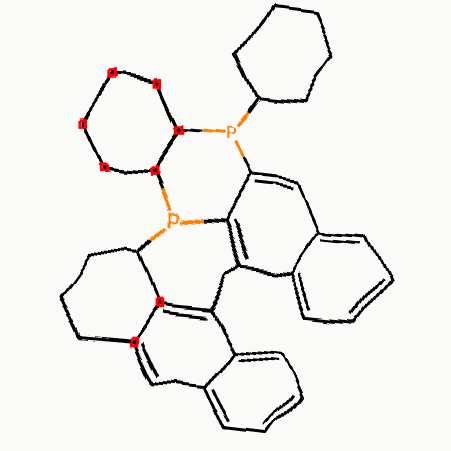 c1ccc2c(-c3c(P(C4CCCCC4)C4CCCCC4)c(P(C4CCCCC4)C4CCCCC4)cc4ccccc34)cccc2c1